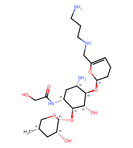 C[C@@H]1CO[C@H](O[C@@H]2[C@@H](O)[C@H](O[C@@H]3CCC=C(CNCCCN)O3)[C@@H](N)C[C@H]2NC(=O)CO)[C@H](O)C1